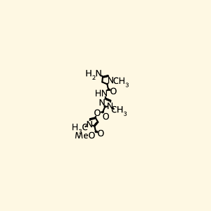 COC(=O)c1cc(OC(=O)c2nc(NC(=O)C3CC(N)=CN3C)cn2C)cn1C